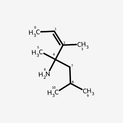 CC=C(C)C(C)(N)CC(C)C